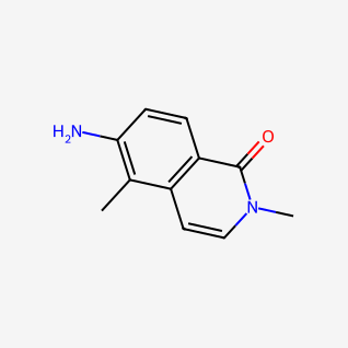 Cc1c(N)ccc2c(=O)n(C)ccc12